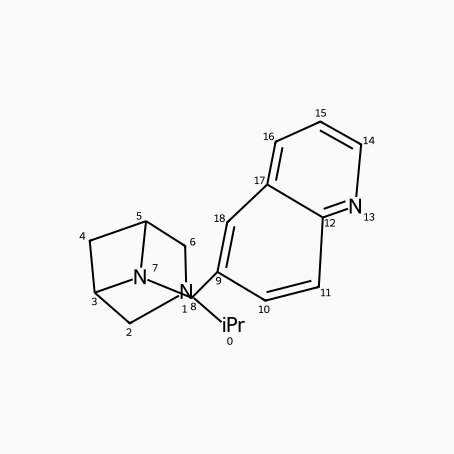 CC(C)N1CC2CC(C1)N2Cc1ccc2ncccc2c1